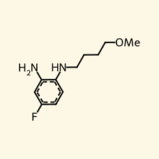 COCCCCNc1ccc(F)cc1N